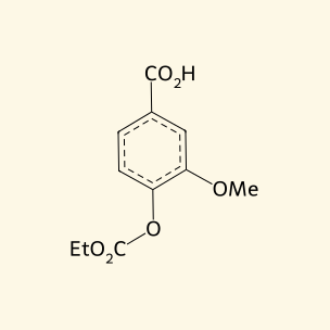 CCOC(=O)Oc1ccc(C(=O)O)cc1OC